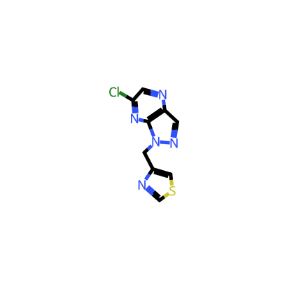 Clc1cnc2cnn(Cc3cscn3)c2n1